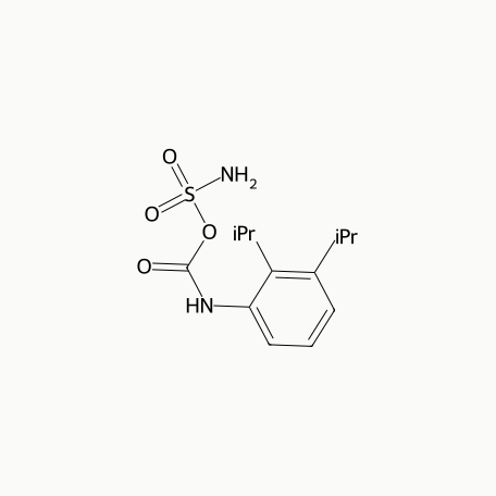 CC(C)c1cccc(NC(=O)OS(N)(=O)=O)c1C(C)C